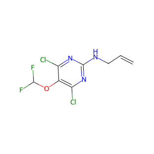 C=CCNc1nc(Cl)c(OC(F)F)c(Cl)n1